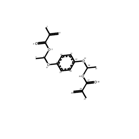 C=C(C)C(=O)OC(C)Oc1ccc(OC(C)OC(=O)C(=C)C)cc1